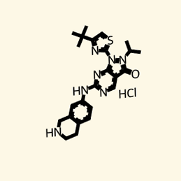 CC(C)n1c(=O)c2cnc(Nc3ccc4c(c3)CNCC4)nc2n1-c1nc(C(C)(C)C)cs1.Cl